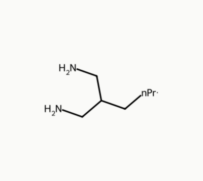 CC[CH]CC(CN)CN